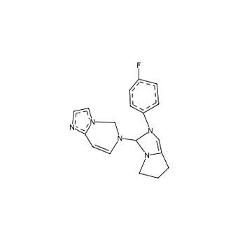 Fc1ccc(N2C=C3CCCN3C2N2C=Cc3nccn3C2)cc1